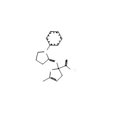 COC(=O)C1(/N=C2\CCCN2c2ccccc2)CC=C(C)S1